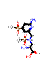 CS(=O)(=O)c1cc(N)nc(CN(C[C@H](N)C(=O)O)S(C)(=O)=O)c1